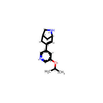 CC(C)Oc1cncc(C2=CC3CC(CN3)C2)c1